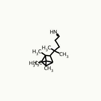 CC1CC2C(C(C)(C)CCC=N)C1(C)C2(C)C